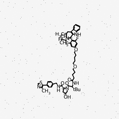 Cc1ncsc1-c1ccc(CNC(=O)[C@@H]2C[C@@H](O)CN2C(=O)C(NC(=O)CCCCOCCCCCOc2cc(F)c([C@@H]3c4[nH]c5ccccc5c4C[C@@H](C)N3CC(C)(C)F)c(F)c2)C(C)(C)C)cc1